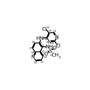 CS(=O)(=O)Nc1c(Nc2nc(Cl)ncc2Cl)ccc2ncccc12